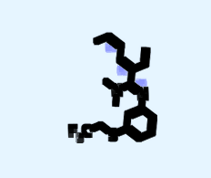 C=CC(=C\C=C/C)/C(=N/c1cccc(SCC(F)(F)F)c1)N(C)C